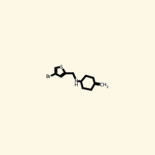 C=C1CCC(NCc2cc(Br)cs2)CC1